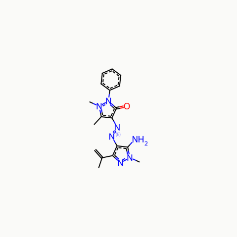 C=C(C)c1nn(C)c(N)c1/N=N/c1c(C)n(C)n(-c2ccccc2)c1=O